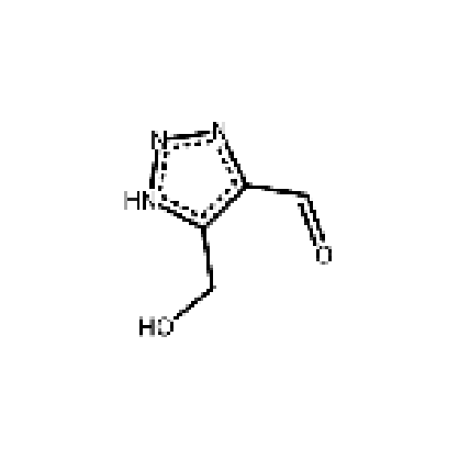 O=Cc1nn[nH]c1CO